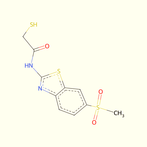 CS(=O)(=O)c1ccc2nc(NC(=O)CS)sc2c1